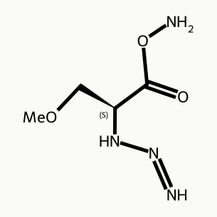 COC[C@H](NN=N)C(=O)ON